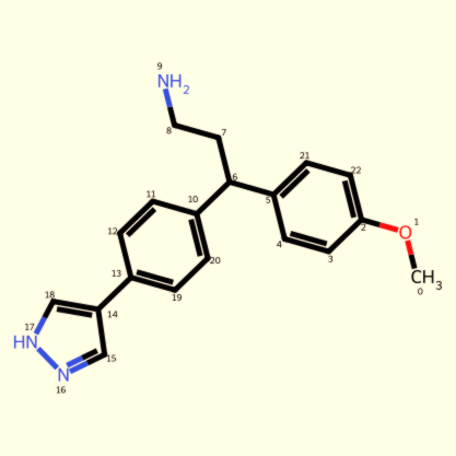 COc1ccc(C(CCN)c2ccc(-c3cn[nH]c3)cc2)cc1